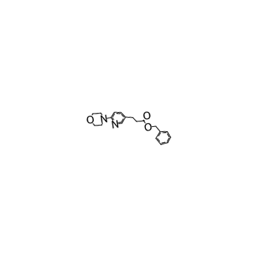 O=C(CCc1ccc(N2CCOCC2)nc1)OCc1ccccc1